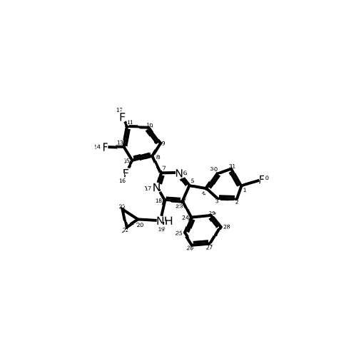 Fc1ccc(-c2nc(-c3ccc(F)c(F)c3F)nc(NC3CC3)c2-c2ccccc2)cc1